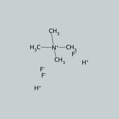 C[N+](C)(C)C.[F-].[F-].[F-].[H+].[H+]